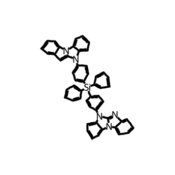 c1ccc([Si](c2ccccc2)(c2ccc(-n3c4ccccc4n4c5ccccc5cc34)cc2)c2ccc(-n3c4ccccc4n4c5ccccc5nc34)cc2)cc1